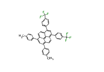 Cc1ccc(-c2cc(-c3ccc(C)cc3)c3ccc4c(-c5ccc(C(F)(F)F)cc5)cc(-c5ccc(C(F)(F)F)cc5)c5ccc2c3c54)cc1